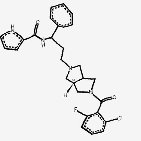 O=C(NC(CCN1CC2CN(C(=O)c3c(F)cccc3Cl)C[C@@H]2C1)c1ccccc1)c1ccc[nH]1